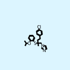 CC(C)Oc1ccccc1SC(C)(CCc1ccc(Cl)cc1)Cn1ccnc1